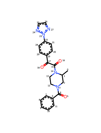 CC1CN(C(=O)c2ccccc2)CCN1C(=O)C(=O)c1ccc(-n2nccn2)cc1